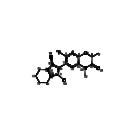 CC1Oc2cc(F)c(-c3c(Cl)n4n(c3=O)CCCC4)cc2N(C)C1=O